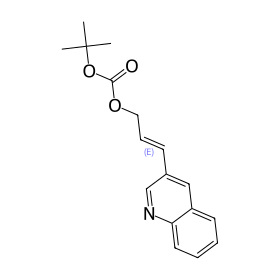 CC(C)(C)OC(=O)OC/C=C/c1cnc2ccccc2c1